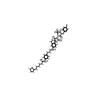 C[C@H](N(Cc1ccc(F)cc1)C(=O)CN1C(=O)O[C@@]2(CCc3cc(NCCCc4ccc(NC(=O)CCCCCC5CCCC5)cc4)ccc32)C1=O)C(F)(F)F